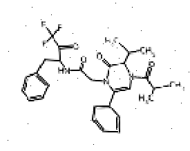 CC(C)C(=O)N1C=C(c2ccccc2)N(CC(=O)NC(Cc2ccccc2)C(=O)C(F)(F)F)C(=O)C1C(C)C